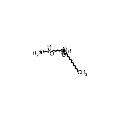 CCCCCCCCCCCCCC(=O)NS(=O)(=O)CCCCCC(=O)NCCCON